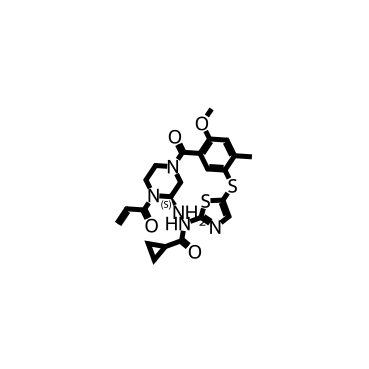 C=CC(=O)N1CCN(C(=O)c2cc(Sc3cnc(NC(=O)C4CC4)s3)c(C)cc2OC)C[C@H]1N